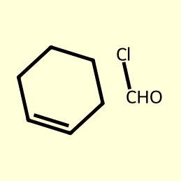 C1=CCCCC1.O=CCl